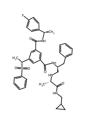 C[C@H](NC[C@H](Cc1ccccc1)NC(=O)c1cc(C(=O)N[C@H](C)c2ccc(F)cc2)cc(N(C)S(=O)(=O)c2ccccc2)c1)C(=O)NCC1CC1